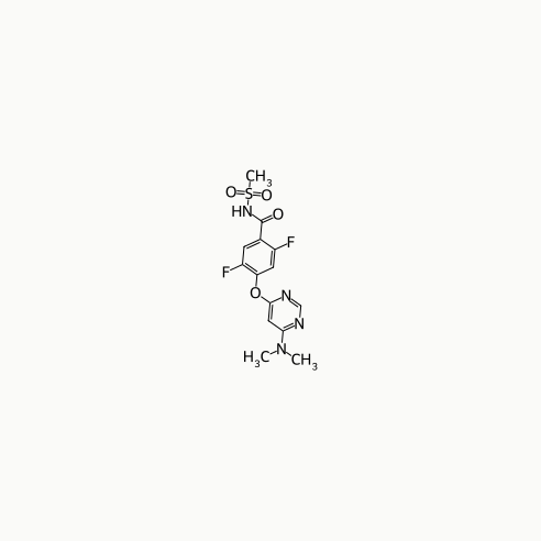 CN(C)c1cc(Oc2cc(F)c(C(=O)NS(C)(=O)=O)cc2F)ncn1